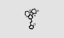 Clc1ccccc1/C=C/c1cc2c3c(c1)[C@@H]1CNCC[C@@H]1N3CCCS2